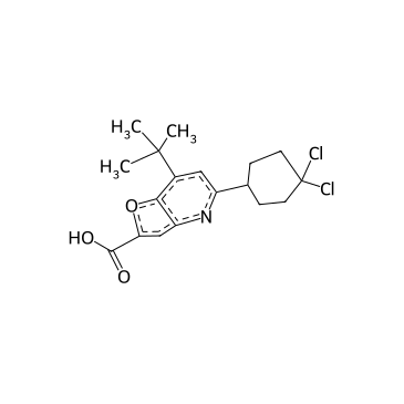 CC(C)(C)c1cc(C2CCC(Cl)(Cl)CC2)nc2cc(C(=O)O)oc12